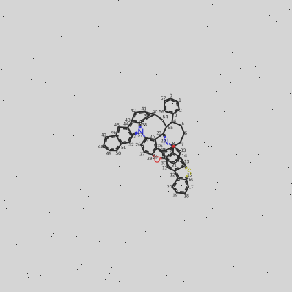 c1ccc(C2CCCC(c3ccc4c(c3)sc3ccccc34)/N=C3/c4c(ccc5oc6ccccc6c45)-n4c5cc(ccc5c5cc6ccccc6cc54)CC32)cc1